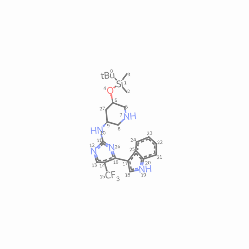 CC(C)(C)[Si](C)(C)O[C@H]1CNC[C@@H](Nc2ncc(C(F)(F)F)c(-c3c[nH]c4ccccc34)n2)C1